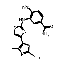 CCCc1ccc(C(N)=O)cc1Nc1nc(-c2sc(N)nc2C)cs1